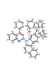 c1ccc(-c2cc(-n3c4ccc5ccccc5c4c4ccc5c(c43)Oc3ccccc3C53c4ccccc4-c4ccccc43)nc3ccccc23)cc1